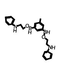 Cc1cc(BOCCNc2ccccc2)cc(BOCCNc2ccccc2)c1